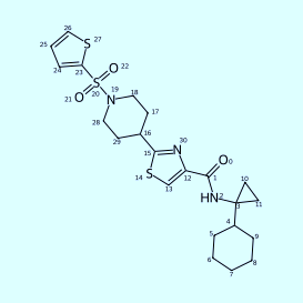 O=C(NC1(C2CCCCC2)CC1)c1csc(C2CCN(S(=O)(=O)c3cccs3)CC2)n1